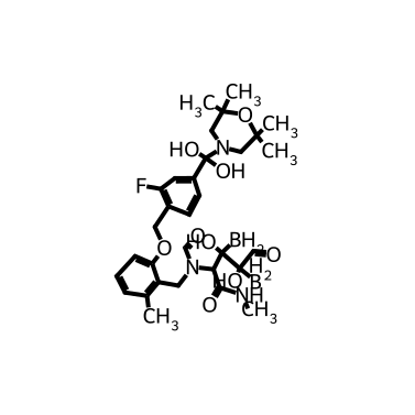 BC(O)(C=O)C(B)(O)C(C(=O)NC)N(C=O)Cc1c(C)cccc1OCc1ccc(C(O)(O)N2CC(C)(C)OC(C)(C)C2)cc1F